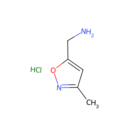 Cc1cc(CN)on1.Cl